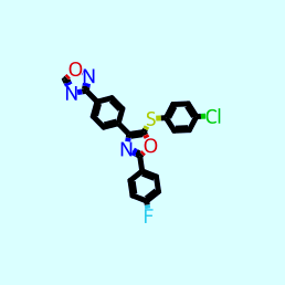 Fc1ccc(-c2nc(-c3ccc(-c4ncon4)cc3)c(Sc3ccc(Cl)cc3)o2)cc1